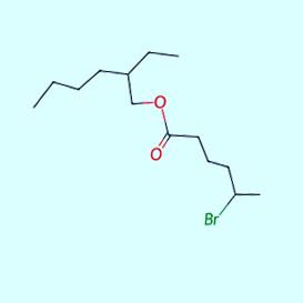 CCCCC(CC)COC(=O)CCCC(C)Br